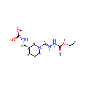 CCOC(=O)NN=CN1CCC[C@@H](CNC(=O)O)C1